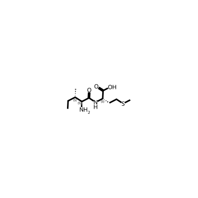 CC[C@H](C)[C@H](N)C(=O)N[C@@H](CCSC)C(=O)O